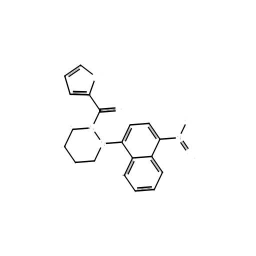 O=C(c1cccs1)N1CCCCN1c1ccc([N+](=O)[O-])c2ccccc12